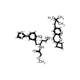 COCC(=O)N[C@@H](Cc1cccc(-c2nccs2)c1)[C@H](O)CN[C@H]1CC2(CCC2)Oc2ncc(CC(C)(C)C)cc21